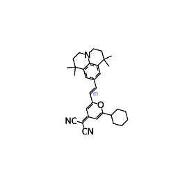 CC1(C)CCN2CCC(C)(C)c3cc(/C=C/C4=CC(=C(C#N)C#N)C=C(C5CCCCC5)O4)cc1c32